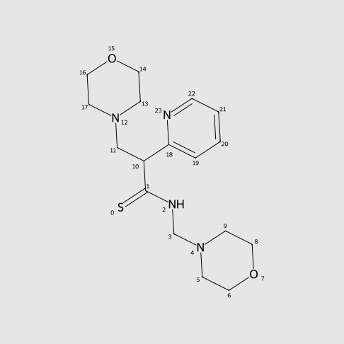 S=C(NCN1CCOCC1)C(CN1CCOCC1)c1ccccn1